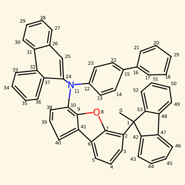 CC1(c2cccc3c2oc2c(N(c4ccc(-c5ccccc5)cc4)c4cc5ccccc5c5ccccc45)cccc23)c2ccccc2-c2ccccc21